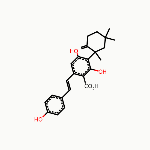 C=C1CCC(C)(C)CC1(C)c1c(O)cc(/C=C/c2ccc(O)cc2)c(C(=O)O)c1O